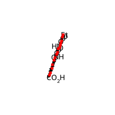 CCC(=O)COCCOCCCNC(=O)COCCOCCNC(=O)CCCCCCCCCCCCCCCCC(=O)O